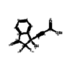 CC(C)COC(=O)C#C[C@@]1(O)c2ccccc2C(=O)C1(F)F